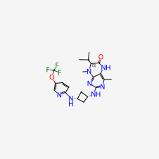 Cc1nc(N[C@H]2C[C@@H](Nc3ccc(OC(F)(F)F)cn3)C2)nc2c1NC(=O)[C@H](C(C)C)N2C